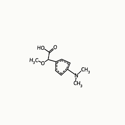 COC(C(=O)O)c1ccc(N(C)C)cc1